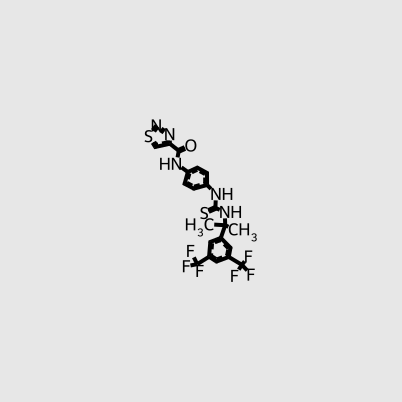 CC(C)(NC(=S)Nc1ccc(NC(=O)c2csnn2)cc1)c1cc(C(F)(F)F)cc(C(F)(F)F)c1